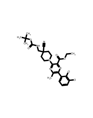 CCOC(=O)c1nc(-c2cccc(Cl)c2Cl)c(C)nc1N1CCC(C#N)(CNC(=O)OC(C)(C)C)CC1